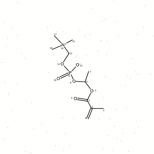 C=C(C)C(=O)OC(C)OP(=O)([O-])OC[N+](C)(C)C